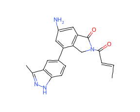 C/C=C/C(=O)N1Cc2c(cc(N)cc2-c2ccc3[nH]nc(C)c3c2)C1=O